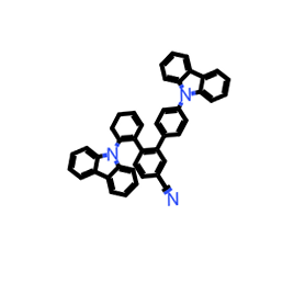 N#Cc1ccc(C2=C(n3c4ccccc4c4ccccc43)CCC=C2)c(-c2ccc(-n3c4ccccc4c4ccccc43)cc2)c1